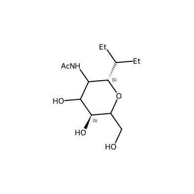 CCC(CC)[C@@H]1OC(CO)[C@@H](O)C(O)C1NC(C)=O